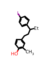 CCC(CCc1ccc(O)c(C)c1)c1ccc(I)cc1